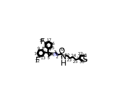 O=C(/C=C/[C@@H]1CC1(c1cccc(F)c1)c1cccc(F)c1)NCCCCc1ccsc1